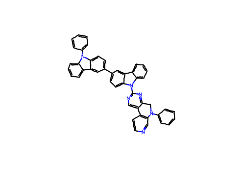 c1ccc(N2Cc3nc(-n4c5ccccc5c5cc(-c6ccc7c(c6)c6ccccc6n7-c6ccccc6)ccc54)ncc3-c3ccncc32)cc1